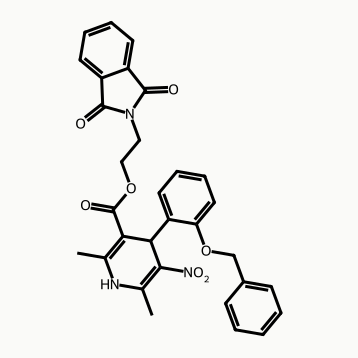 CC1=C(C(=O)OCCN2C(=O)c3ccccc3C2=O)C(c2ccccc2OCc2ccccc2)C([N+](=O)[O-])=C(C)N1